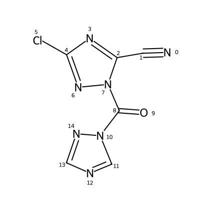 N#Cc1nc(Cl)nn1C(=O)n1cncn1